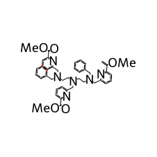 C=C(OC)c1cccc(CN(CCN(CCN(Cc2ccccc2)Cc2cccc(C(=O)OC)n2)Cc2cccc(C(=O)OC)n2)Cc2ccccc2)n1